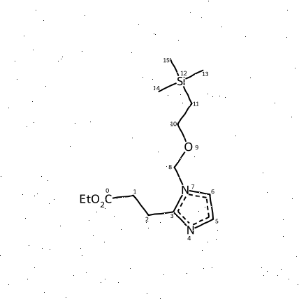 CCOC(=O)CCc1nccn1COCC[Si](C)(C)C